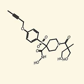 CC#CCOc1ccc(S(=O)(=O)C2(C(=O)NO)CCN(C(=O)C(C)(CO)CO)CC2)cc1